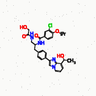 CC(C)Oc1ccc(C(=O)NC(CNC(=O)CO)Cc2ccc(-c3cn4cccc(C(C)O)c4n3)cc2)cc1Cl